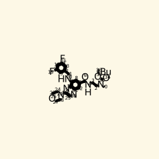 CN(CCNC(=O)c1cc(NCc2cc(F)cc(F)c2)c2nc(N3CCOCC3)cnc2c1)C(=O)OC(C)(C)C